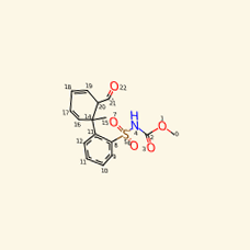 COC(=O)NS(=O)(=O)c1ccccc1C1(C)C=CC=CC1[C]=O